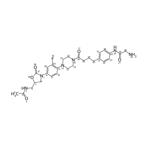 CC(=O)NCC1CN(c2ccc(N3CCN(C(=O)CCCc4ccc(NC(=O)CN)cc4)CC3)c(F)c2)C(=O)O1